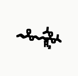 CC=CC(=O)OCCC[SiH2]C(OC(C)C)OC(C)C